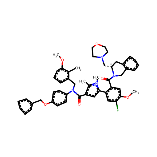 COc1cc(C(=O)N2Cc3ccccc3C[C@H]2CN2CCOCC2)c(-c2cc(C(=O)N(Cc3cccc(OC)c3C)c3ccc(OCc4ccccc4)cc3)c(C)n2C)cc1F